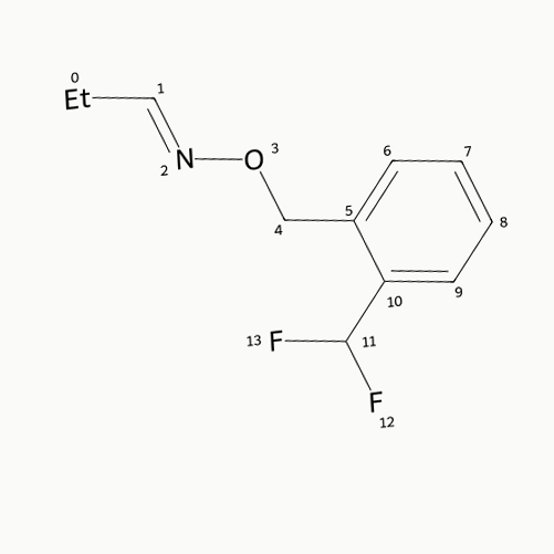 CCC=NOCc1ccccc1C(F)F